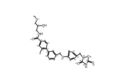 COCC(O)CNC(=O)c1ccc(-c2cccc(COc3ccc(Cn4oc(=O)[nH]c4=O)cc3)c2)c(C)c1